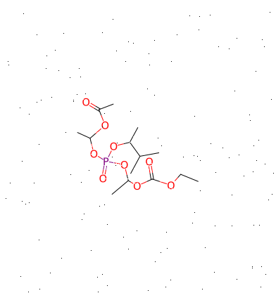 CCOC(=O)OC(C)OP(=O)(OC(C)OC(C)=O)OC(C)C(C)C